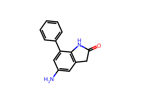 Nc1cc2c(c(-c3ccccc3)c1)NC(=O)C2